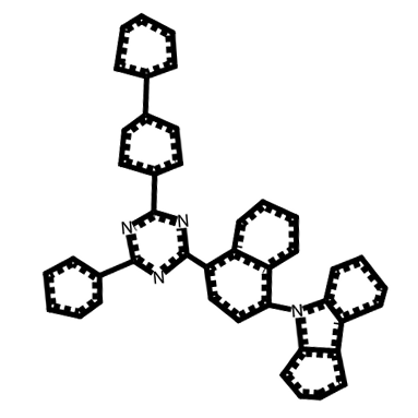 c1ccc(-c2ccc(-c3nc(-c4ccccc4)nc(-c4ccc(-n5c6ccccc6c6ccccc65)c5ccccc45)n3)cc2)cc1